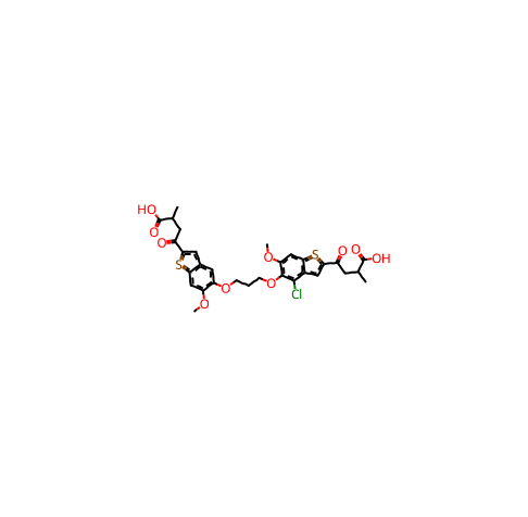 COc1cc2sc(C(=O)CC(C)C(=O)O)cc2cc1OCCCOc1c(OC)cc2sc(C(=O)CC(C)C(=O)O)cc2c1Cl